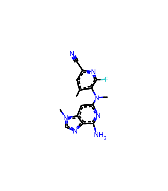 Cc1cc(C#N)nc(F)c1N(C)c1cc2c(ncn2C)c(N)n1